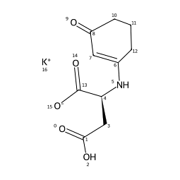 O=C(O)C[C@H](NC1=CC(=O)CCC1)C(=O)[O-].[K+]